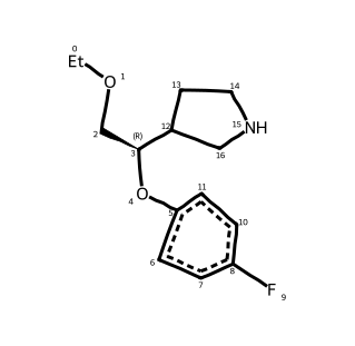 CCOC[C@H](Oc1ccc(F)cc1)C1CCNC1